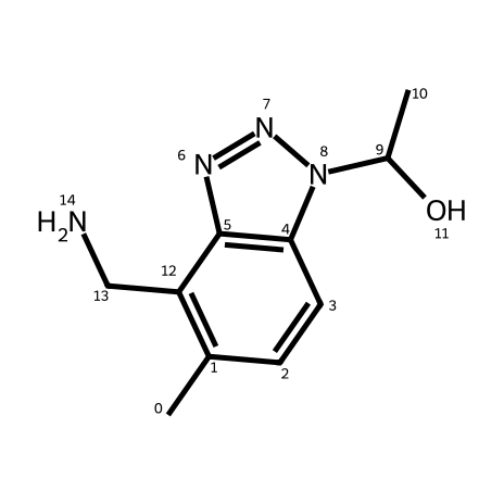 Cc1ccc2c(nnn2C(C)O)c1CN